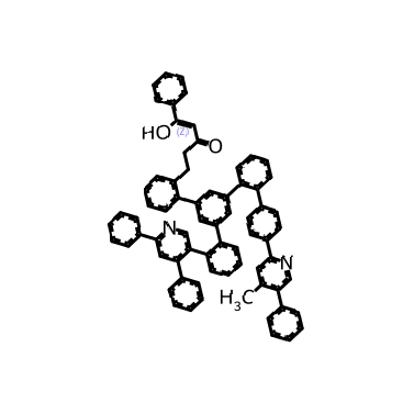 Cc1cc(-c2ccc(-c3ccccc3-c3cc(-c4ccccc4CCC(=O)/C=C(\O)c4ccccc4)cc(-c4ccccc4-c4cnc(-c5ccccc5)cc4-c4ccccc4)c3)cc2)ncc1-c1ccccc1